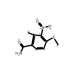 CSc1ccc(C(N)=O)c(C)c1[N+](=O)[O-]